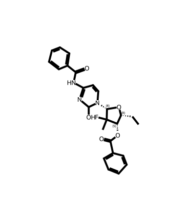 CC[C@H]1O[C@@H](N2C=CC(NC(=O)c3ccccc3)=NC2O)C(C)(F)[C@H]1OC(=O)c1ccccc1